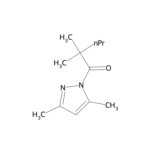 CCCC(C)(C)C(=O)n1nc(C)cc1C